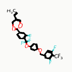 C/C=C/C1COC(c2ccc(C(F)(F)Oc3ccc(OCc4cc(F)c(C(F)(F)F)c(F)c4)cc3)c(F)c2)OC1